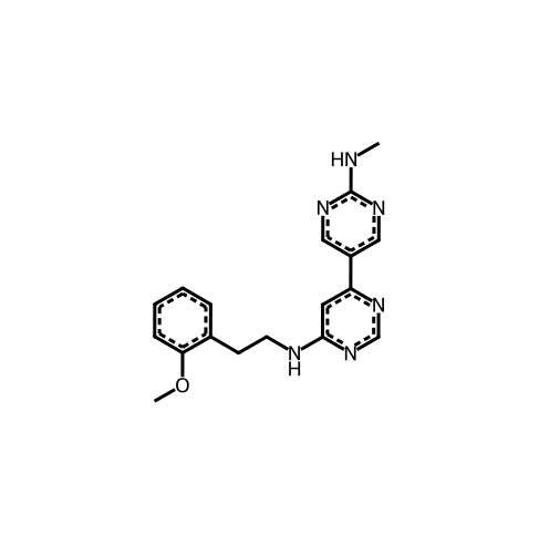 CNc1ncc(-c2cc(NCCc3ccccc3OC)ncn2)cn1